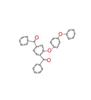 O=C(c1ccccc1)c1ccc(C(=O)c2ccccc2)c(Oc2ccc(Oc3ccccc3)cc2)c1